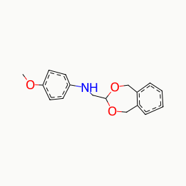 COc1ccc(NCC2OCc3ccccc3CO2)cc1